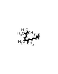 CC(C)C(C)[CH]CC(C)C(C)CCCCC(F)(F)F